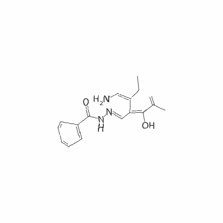 C=C(C)/C(O)=C(/C=N/NC(=O)c1ccccc1)C(=C/N)\CC